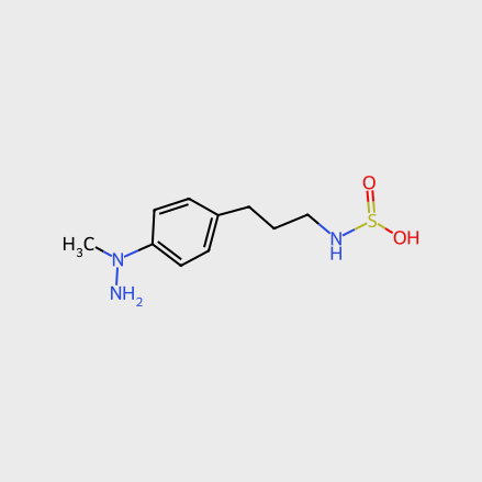 CN(N)c1ccc(CCCNS(=O)O)cc1